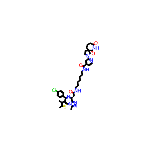 Cc1sc2c(c1C)C(c1ccc(Cl)cc1)=N[C@@H](CC(=O)NCCCCCCCNC(=O)c1ccnc(N3CCC4(CCCC(=O)NC4=O)C3)c1)c1nnc(C)n1-2